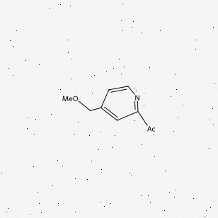 COCc1ccnc(C(C)=O)c1